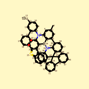 Cc1cc2c3c(c1)N(c1ccc(C(C)(C)C)cc1-c1ccccc1)c1ccc4sc5ccccc5c4c1B3N1c3ccccc3C3(c4ccccc4-c4ccccc43)c3cccc-2c31